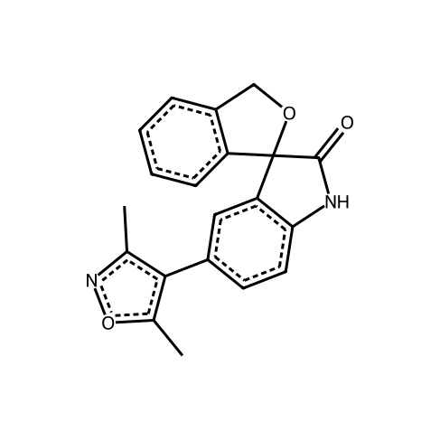 Cc1noc(C)c1-c1ccc2c(c1)C1(OCc3ccccc31)C(=O)N2